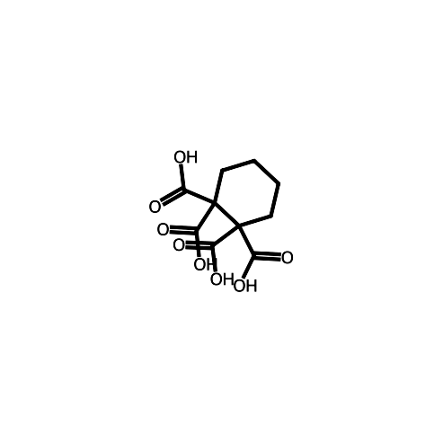 O=C(O)C1(C(=O)O)CCCCC1(C(=O)O)C(=O)O